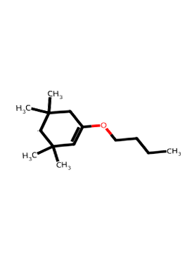 CCCCOC1=CC(C)(C)[CH]C(C)(C)C1